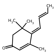 C/C=C/C=C1/C(C)=CC(=O)CC1(C)C